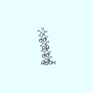 CCCCOCCOCCOCCO.CCCCOCCOCCOCCO